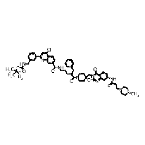 CN1CCN(CCC(=O)Nc2ccc3c(=O)n(CC4(O)CCN(C(=O)C(CCCNC(=O)c5ccc6c(Cl)cc(-c7cccc(CNC(=O)OC(C)(C)C)c7)nc6c5)Cc5ccccc5)CC4)cnc3c2)CC1